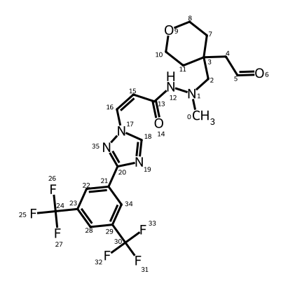 CN(CC1(CC=O)CCOCC1)NC(=O)/C=C\n1cnc(-c2cc(C(F)(F)F)cc(C(F)(F)F)c2)n1